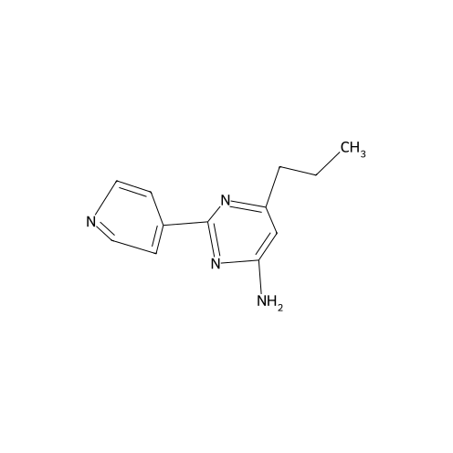 CCCc1cc(N)nc(-c2ccncc2)n1